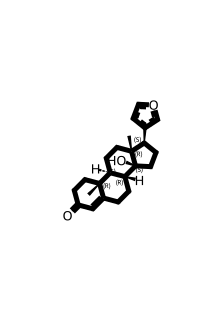 C[C@]12CCC(=O)C=C1CC[C@@H]1[C@@H]2CC[C@]2(C)[C@@H](c3ccoc3)CC[C@]12O